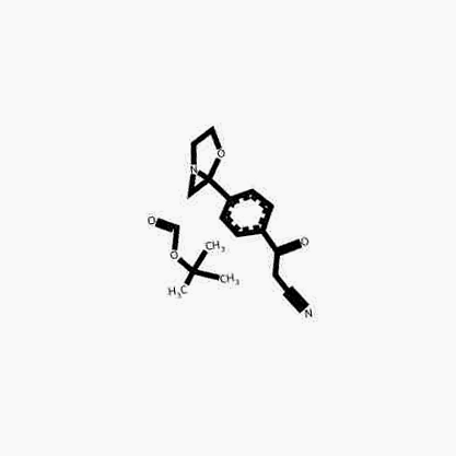 CC(C)(C)OC=O.N#CCC(=O)c1ccc(C23CN2CCO3)cc1